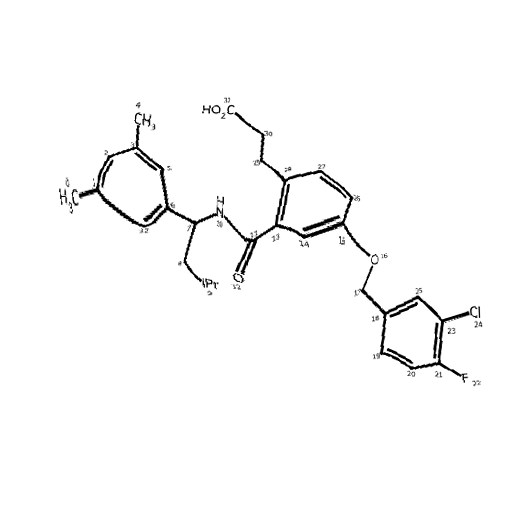 Cc1cc(C)cc(C(CC(C)C)NC(=O)c2cc(OCc3ccc(F)c(Cl)c3)ccc2CCC(=O)O)c1